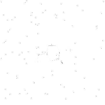 C[C@@H]1C[C@H](O)[C@@H](C)CN1C(=O)O